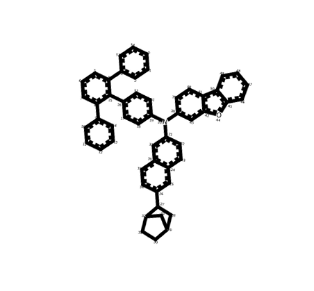 c1ccc(-c2cccc(-c3ccccc3)c2-c2ccc(N(c3ccc4cc(C5CC6CCC5C6)ccc4c3)c3ccc4c(c3)oc3ccccc34)cc2)cc1